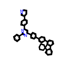 c1ccc(-c2nc(-c3ccc(-c4ccc(-c5cccc6c5C5(CCCCC5)c5ccccc5-6)cc4)cc3)cc(-c3ccc(-c4cccnc4)cc3)n2)cc1